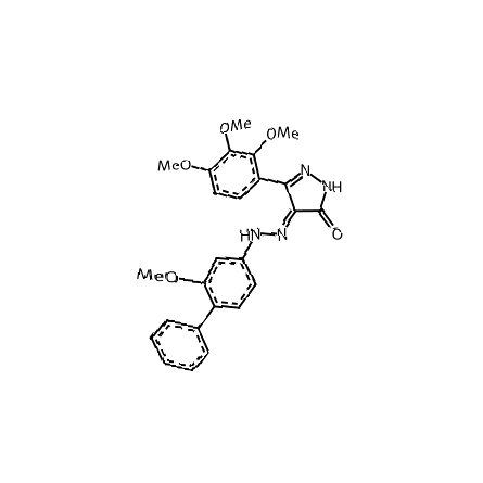 COc1cc(N/N=C2/C(=O)NN=C2c2ccc(OC)c(OC)c2OC)ccc1-c1ccccc1